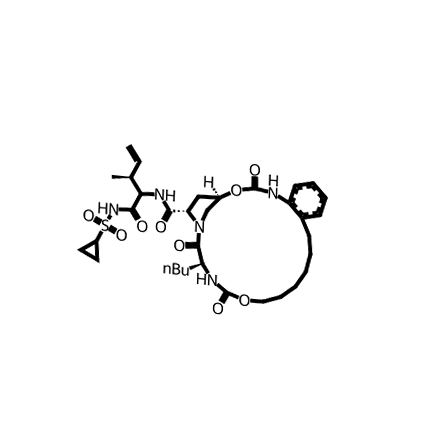 C=C[C@H](C)C(NC(=O)[C@@H]1C[C@@H]2CN1C(=O)[C@H](CCCC)NC(=O)OCCCCCCc1ccccc1NC(=O)O2)C(=O)NS(=O)(=O)C1CC1